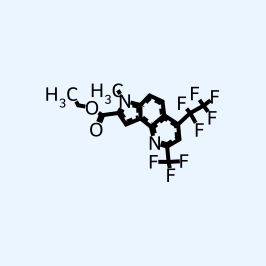 CCOC(=O)c1cc2c3nc(C(F)(F)F)cc(C(F)(F)C(F)(F)F)c3ccc2n1C